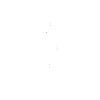 CCCC[C@H]1CC[C@H](c2ccc(-c3ccc4c(F)c(F)ccc4c3)c(F)c2)CC1